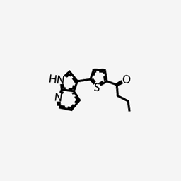 CCCC(=O)c1ccc(-c2c[nH]c3ncccc23)s1